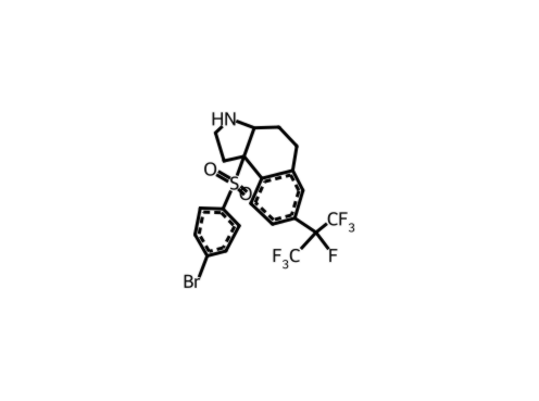 O=S(=O)(c1ccc(Br)cc1)C12CCNC1CCc1cc(C(F)(C(F)(F)F)C(F)(F)F)ccc12